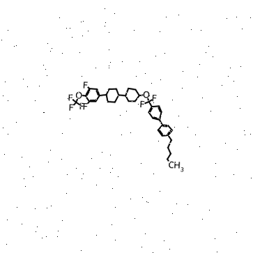 CCCCCc1ccc(-c2ccc(C(F)(F)OC3CCC(C4CCC(c5cc(F)c(OC(F)(F)F)c(F)c5)CC4)CC3)cc2)cc1